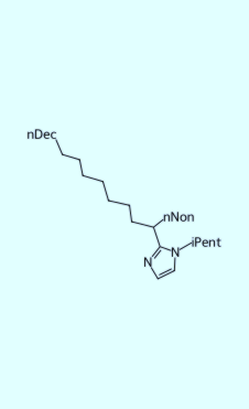 CCCCCCCCCCCCCCCCCC(CCCCCCCCC)c1nccn1C(C)CCC